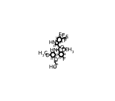 COc1cc(NC(C(=O)c2c[nH]c3cc(F)c(C(F)(F)F)cc23)c2ccc(F)cc2OC)cc(OCCO)c1